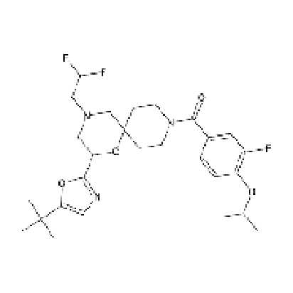 CC(C)Oc1ccc(C(=O)N2CCC3(CC2)CN(CC(F)F)CC(c2ncc(C(C)(C)C)o2)O3)cc1F